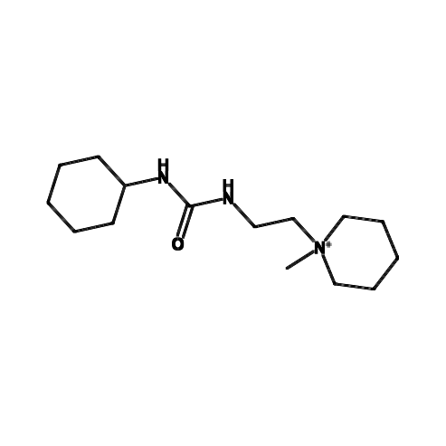 C[N+]1(CCNC(=O)NC2CCCCC2)CCCCC1